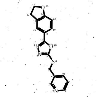 c1cncc(CSc2nnc(-c3ccc4c(c3)CCO4)o2)c1